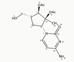 CC(=O)O[C@@H]1[C@@H](CO)O[C@@H](n2ccc(N)nc2=O)[C@]1(C)OC(C)=O